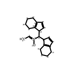 C[CH]=[Zr]([Cl])[CH](C1C=CC2=C1CCCC2)C1C=CC2=C1CCCC2